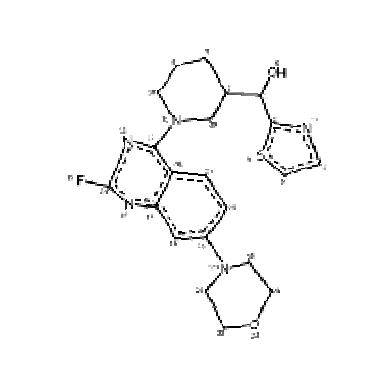 OC(c1nccs1)C1CCCN(c2nc(F)nc3cc(N4CCOCC4)ccc23)C1